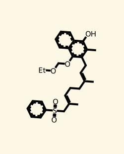 CCOCOc1c(C/C=C(\C)CC/C=C(\C)CS(=O)(=O)c2ccccc2)c(C)c(O)c2ccccc12